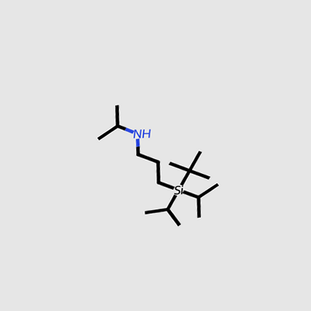 CC(C)NCCC[Si](C(C)C)(C(C)C)C(C)(C)C